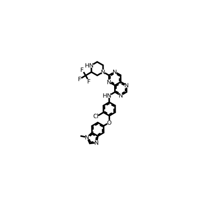 Cn1cnc2cc(Oc3ccc(Nc4ncnc5cnc(N6CCNC(C(F)(F)F)C6)nc45)cc3Cl)ccc21